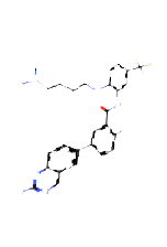 CN(C)CCCCNc1ccc(C(F)(F)F)cc1NC(=O)c1cc(-c2ccc3nc(N)ncc3c2)ccc1Cl